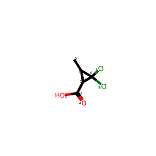 CC1C(C(=O)O)C1(Cl)Cl